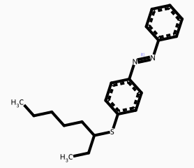 CCCCCC(CC)Sc1ccc(/N=N/c2ccccc2)cc1